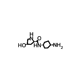 N[C@H]1CC[C@H](NC(=O)[C@H]2C[C@H](O)CN2)CC1